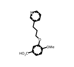 COc1ccc(C(=O)O)cc1OCCCc1cccnc1